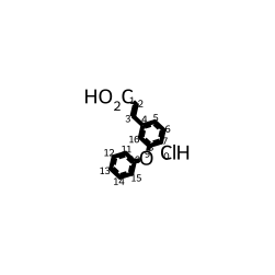 Cl.O=C(O)C=Cc1cccc(Oc2ccccc2)c1